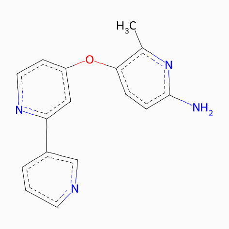 Cc1nc(N)ccc1Oc1ccnc(-c2cccnc2)c1